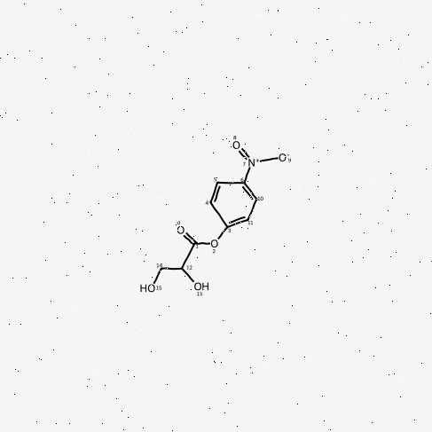 O=C(Oc1ccc([N+](=O)[O-])cc1)C(O)CO